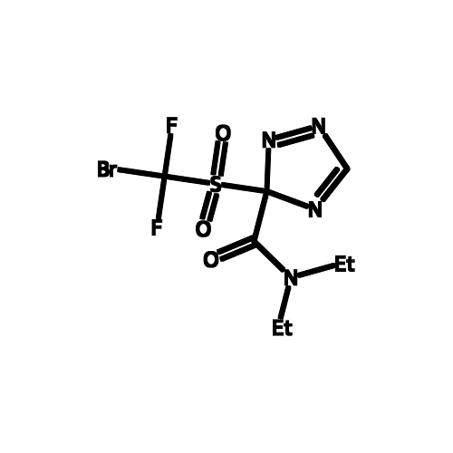 CCN(CC)C(=O)C1(S(=O)(=O)C(F)(F)Br)N=CN=N1